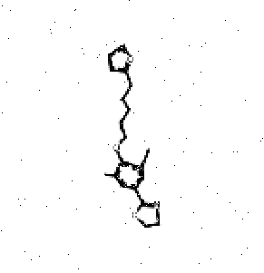 Cc1cc(C2=NCCO2)cc(C)c1OCCCCCc1ccco1